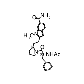 CC(=O)N[C@H](Cc1ccccc1)C(=O)N1CCC[C@H]1CCc1cc2ccc(C(N)=O)cc2n1C